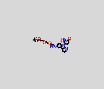 CC(C)(C)[Si](C)(C)OCCOCCOCCNc1ccc2c(c1)c1cccnc1n2C1CCC(=O)NC1=O